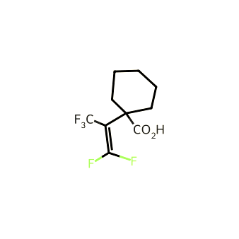 O=C(O)C1(C(=C(F)F)C(F)(F)F)CCCCC1